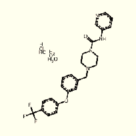 Cl.Cl.O.O.O=C(Nc1cccnc1)N1CCN(Cc2cccc(Oc3ccc(C(F)(F)F)cc3)c2)CC1